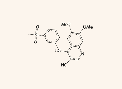 COc1cc2ncc(C#N)c(Nc3cccc(S(C)(=O)=O)c3)c2cc1OC